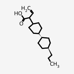 C=CC(C(=O)O)C1CCC([C@H]2CC[C@H](CCC)CC2)CC1